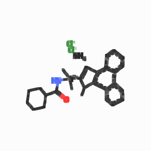 CC1[C]([Ti+2]([CH3])([CH3])[NH]C(=O)C2CCCCC2)=Cc2c1c1ccccc1c1ccccc21.[Cl-].[Cl-].[SiH4]